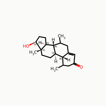 CC1CC2=CC(=O)CC(C)[C@@H]2[C@H]2CC[C@]3(C)[C@@H](O)CC[C@H]3[C@H]12